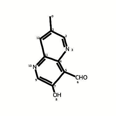 Cc1cnc2c(C=O)c(O)cnc2c1